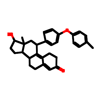 Cc1ccc(Oc2ccc(C3CC4(C)C(O)CCC4C4CCC5=CC(=O)CCC5=C34)cc2)cc1